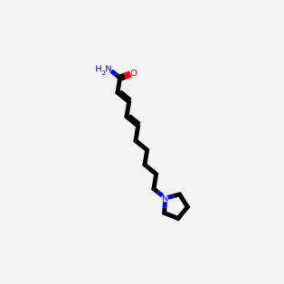 NC(=O)C=CC=CCCCCCN1CCCC1